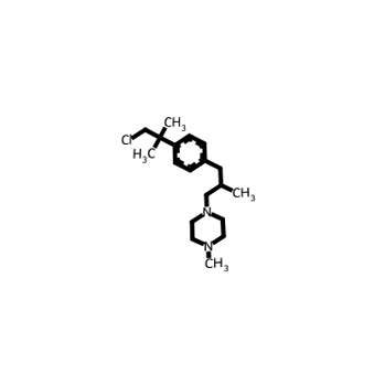 CC(Cc1ccc(C(C)(C)CCl)cc1)CN1CCN(C)CC1